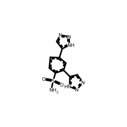 NS(=O)(=O)c1ccc(-c2cnn[nH]2)cc1-c1cnn[nH]1